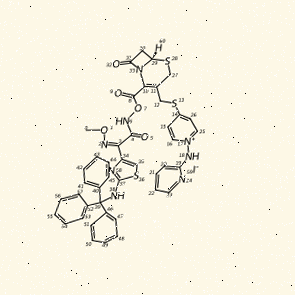 CO/N=C(\C(=O)NOC(=O)C1=C(CSc2cc[n+](Nc3ccccn3)cc2)CS[C@H]2CC(=O)N12)c1csc(NC(c2ccccc2)(c2ccccc2)c2ccccc2)n1.[I-]